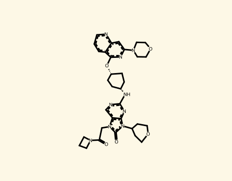 O=C(Cn1c(=O)n(C2CCOCC2)c2nc(N[C@H]3CC[C@@H](Oc4nc(N5CCOCC5)cc5ncccc45)CC3)ncc21)N1CCC1